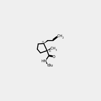 C=CC[C@@H]1CCC[C@@]1(C)C(=O)NC(C)(C)C